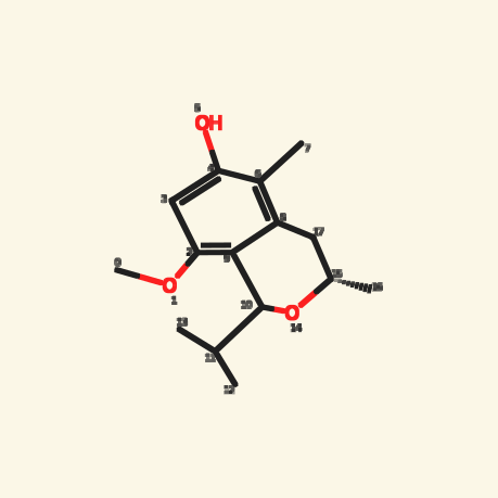 COc1cc(O)c(C)c2c1C(C(C)C)O[C@@H](C)C2